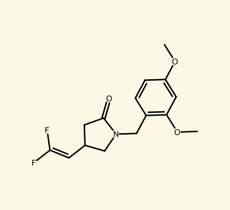 COc1ccc(CN2CC(C=C(F)F)CC2=O)c(OC)c1